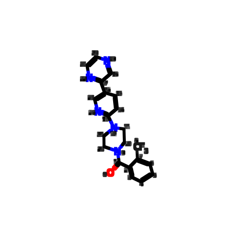 O=C(c1ccccc1C(F)(F)F)N1CCN(c2ccc(-c3cnccn3)cn2)CC1